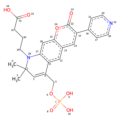 CC1(C)C=C(COP(=O)(O)O)c2cc3cc(-c4ccncc4)c(=O)oc3cc2N1CCCC(=O)O